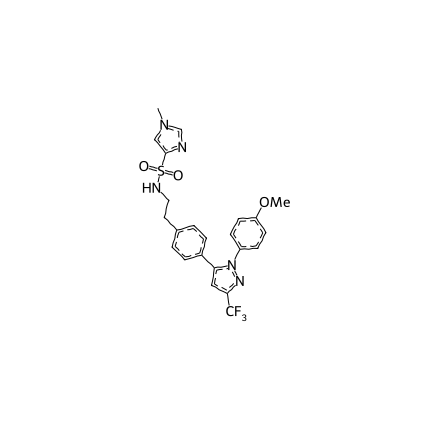 COc1ccc(-n2nc(C(F)(F)F)cc2-c2ccc(CCNS(=O)(=O)c3cn(C)cn3)cc2)cc1